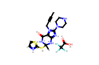 CC#CCn1c(N2CCNCC2)nc2c1C(=O)NC(C)(Sc1nccs1)N2.O=C(O)C(F)(F)F